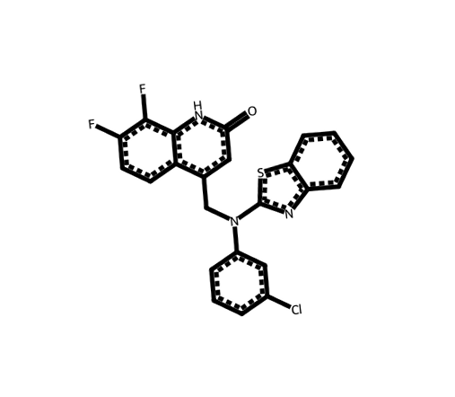 O=c1cc(CN(c2cccc(Cl)c2)c2nc3ccccc3s2)c2ccc(F)c(F)c2[nH]1